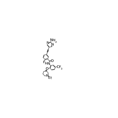 CCN1CCC[C@@H](Oc2ccc(C(F)(F)F)cc2NC(=O)c2cc(C#Cc3cnc(N)nc3)ccc2F)C1